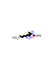 COC(=O)Nc1csc(CCCCC(=O)O)c1N